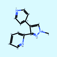 Cn1cc(-c2ccncc2)c(-c2ccccn2)n1